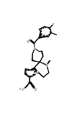 Cc1cc(C(=O)N2CCC3(CC2)c2ccc(C(=O)C(F)(F)F)n2CCN3C)ccc1F